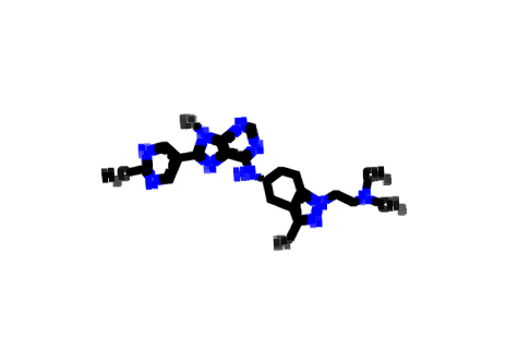 CCn1c(-c2cnc(C)nc2)nc2c(N[C@@H]3CCc4c(c(C(C)C)nn4CCN(C)C)C3)ncnc21